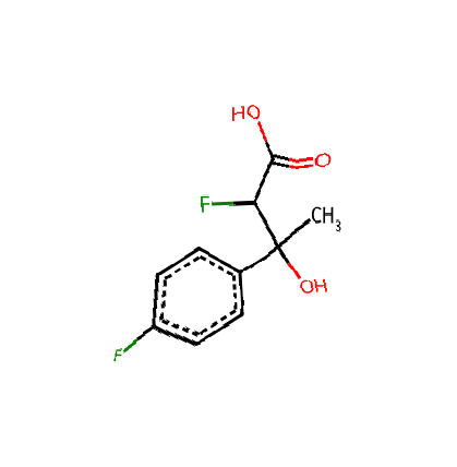 CC(O)(c1ccc(F)cc1)C(F)C(=O)O